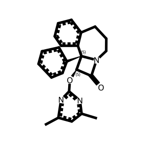 Cc1cc(C)nc(O[C@@H]2C(=O)N3CCCc4ccccc4[C@@]23c2ccccc2)n1